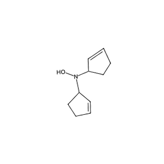 ON(C1C=CCC1)C1C=CCC1